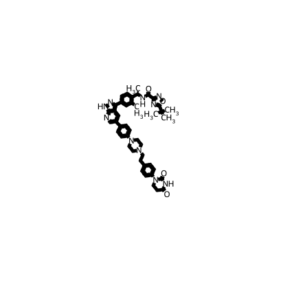 Cc1cc(-c2n[nH]c3ncc(-c4ccc(N5CCN(CCc6ccc(N7CCC(=O)NC7=O)cc6)CC5)cc4)cc23)ccc1[C@@H](C)NC(=O)c1noc(C(C)(C)C)n1